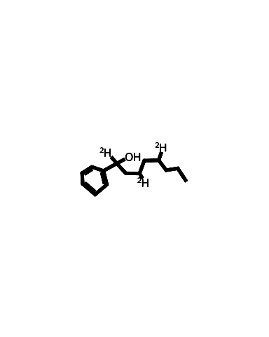 [2H]C(CCC)CC([2H])CC([2H])(O)c1ccccc1